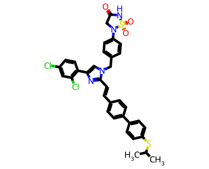 CC(C)Sc1ccc(-c2ccc(/C=C/c3nc(-c4ccc(Cl)cc4Cl)cn3Cc3ccc(N4CC(=O)NS4(=O)=O)cc3)cc2)cc1